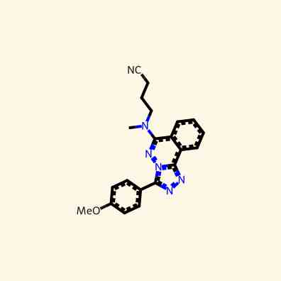 COc1ccc(-c2nnc3c4ccccc4c(N(C)CCCC#N)nn23)cc1